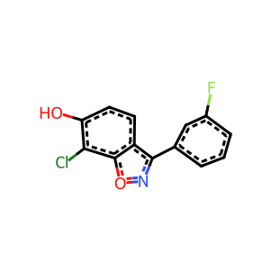 Oc1ccc2c(-c3cccc(F)c3)noc2c1Cl